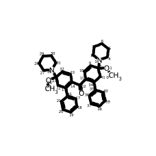 COC1(N2CCCCC2)C=CC(C(=O)C2=C(c3ccccc3)CC(OC)(N3CCCCC3)C=C2)=C(c2ccccc2)C1